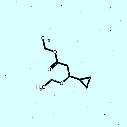 CCOC(=O)CC(OCC)C1CC1